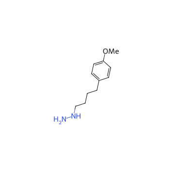 COc1ccc(CCCCNN)cc1